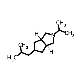 CC(C)CC1C[C@@H]2CN(C(C)C)C[C@@H]2C1